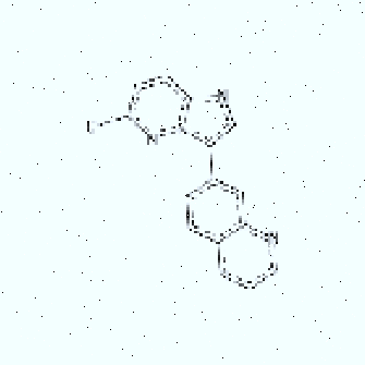 Clc1ccc2ncc(-c3ccc4cccnc4c3)n2n1